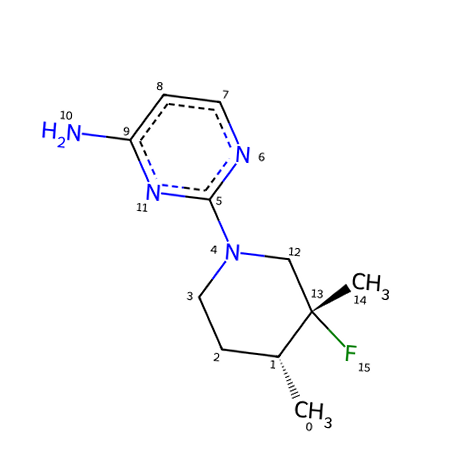 C[C@@H]1CCN(c2nccc(N)n2)C[C@]1(C)F